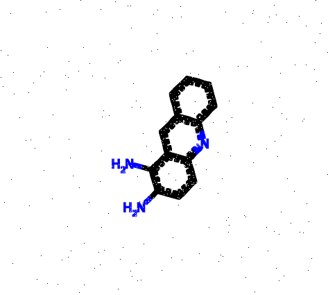 Nc1ccc2nc3ccccc3cc2c1N